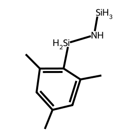 Cc1cc(C)c([SiH2]N[SiH3])c(C)c1